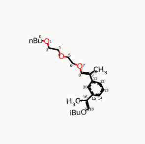 CCCCOCCOCCOC=C(C)c1cccc(C(C)=COCC(C)C)c1